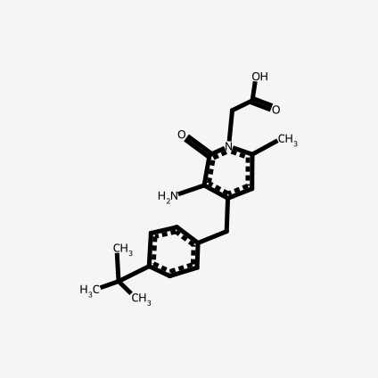 Cc1cc(Cc2ccc(C(C)(C)C)cc2)c(N)c(=O)n1CC(=O)O